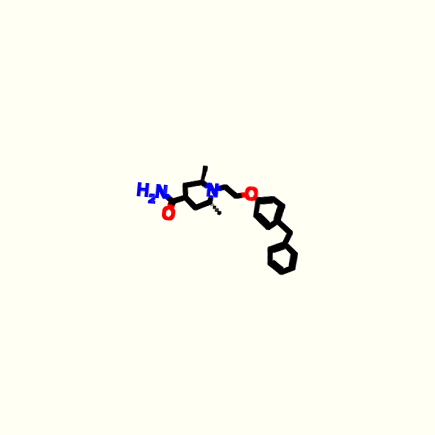 C[C@@H]1CC(C(N)=O)C[C@@H](C)N1CCOc1ccc(Cc2ccccc2)cc1